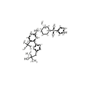 CC(C)(O)Cc1cnc(-c2nc(N[C@H]3CCN(S(=O)(=O)c4cn[nH]c4)C[C@H]3F)ncc2C(F)(F)F)s1